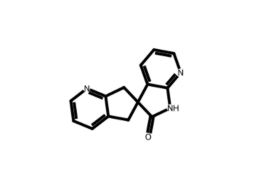 O=C1Nc2ncccc2C12Cc1cccnc1C2